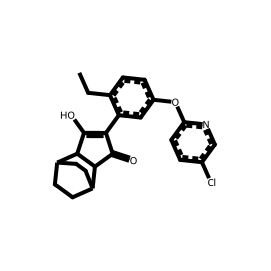 CCc1ccc(Oc2ccc(Cl)cn2)cc1C1=C(O)C2C3CCC(CC3)C2C1=O